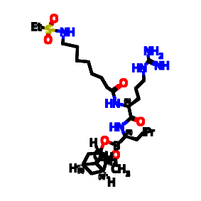 CCS(=O)(=O)NCCCCCCCC(=O)N[C@@H](CCCNC(=N)N)C(=O)N[C@@H](CC(C)C)B1O[C@@H]2C[C@@H]3C[C@@H](C3(C)C)[C@]2(C)O1